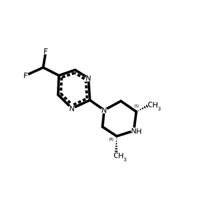 C[C@@H]1CN(c2ncc(C(F)F)cn2)C[C@H](C)N1